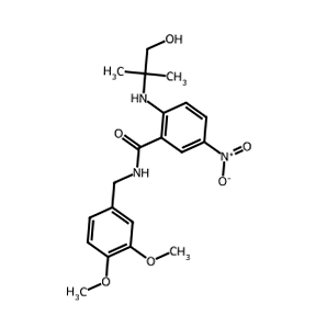 COc1ccc(CNC(=O)c2cc([N+](=O)[O-])ccc2NC(C)(C)CO)cc1OC